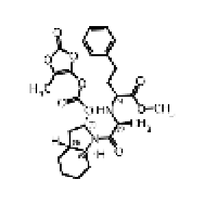 COC(=O)[C@H](CCc1ccccc1)N[C@@H](C)C(=O)N1[C@@H](OC(=O)Oc2oc(=O)oc2C)C[C@H]2CCCC[C@@H]21